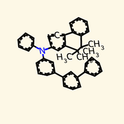 CC1(C)c2ccccc2-c2ccc(N(c3ccccc3)c3cccc(-c4cccc(-c5ccccc5)c4)c3)cc2C1(C)C